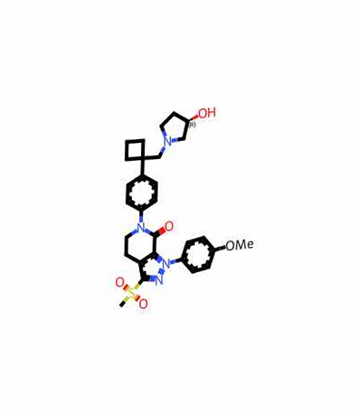 COc1ccc(-n2nc(S(C)(=O)=O)c3c2C(=O)N(c2ccc(C4(CN5CC[C@@H](O)C5)CCC4)cc2)CC3)cc1